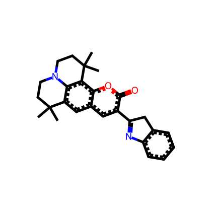 CC1(C)CCN2CCC(C)(C)c3c2c1cc1cc(C2=Nc4ccccc4C2)c(=O)oc31